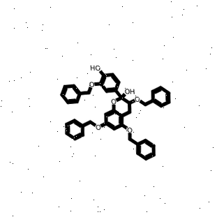 Oc1ccc(C2(O)Oc3cc(OCc4ccccc4)cc(OCc4ccccc4)c3CC2OCc2ccccc2)cc1OCc1ccccc1